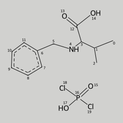 CC(C)C(NCc1ccccc1)C(=O)O.O=P(O)(Cl)Cl